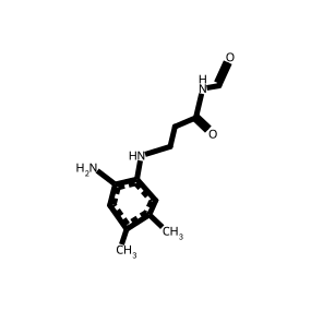 Cc1cc(N)c(NCCC(=O)NC=O)cc1C